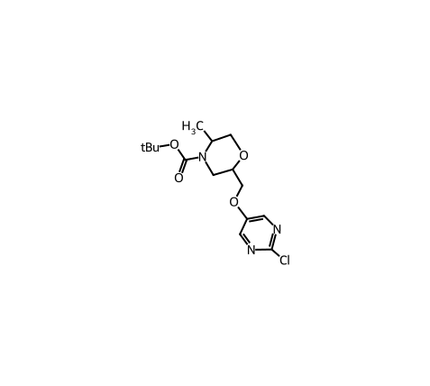 CC1COC(COc2cnc(Cl)nc2)CN1C(=O)OC(C)(C)C